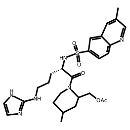 CC(=O)OCC1CC(C)CCN1C(=O)[C@H](CCCNc1ncc[nH]1)NS(=O)(=O)c1ccc2ncc(C)cc2c1